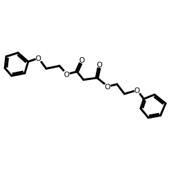 O=C(CC(=O)OCCOc1ccccc1)OCCOc1ccccc1